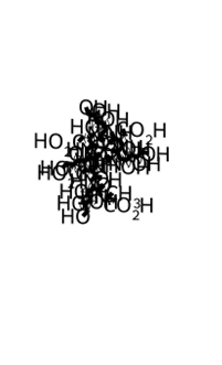 CCC(=O)N[C@H](C(=O)N[C@@H](CC(=O)O)C(=O)N[C@H](C(=O)N[C@@H](CC(=O)O)C(=O)N[C@H](C(=O)N[C@@H](CC(=O)O)C(=O)N[C@H](C(=O)N[C@@H](C)C(=O)O)[C@@H](O)[C@H](O)[C@H](O)CO)[C@@H](O)[C@H](O)[C@H](O)CO)[C@@H](O)[C@H](O)[C@H](O)CO)[C@@H](O)[C@H](O)[C@H](O)CO